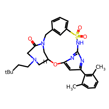 Cc1cccc(C)c1-c1cc2nc(n1)NS(=O)(=O)c1cccc(c1)CN1C[C@@H](CN(CCC(C)(C)C)CC1=O)O2